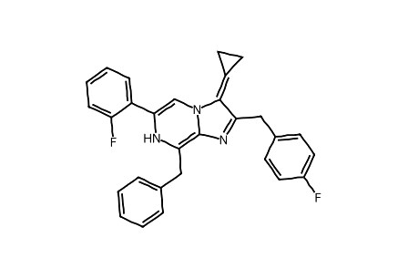 Fc1ccc(Cc2nc3n(c2=C2CC2)C=C(c2ccccc2F)NC=3Cc2ccccc2)cc1